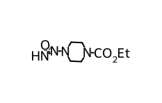 CCOC(=O)N1CCN(n2[nH]o2)CC1